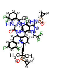 CC(C)(C#Cc1ccc(-c2ccc(F)c3c(N[S+]([O-])C4CC4)nn(CC(F)F)c23)c(C(Cc2cc(F)cc(F)c2)NC(=O)CNC2=C(C(=N)C(F)(F)F)CCCC2(F)F)n1)[S+]([O-])C1CC1